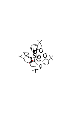 COc1c([SiH](O[SiH](c2cccc(C(C)(C)C)c2OC)c2cccc(C(C)(C)C)c2OC)c2cccc(C(C)(C)C)c2OC)cccc1C(C)(C)C